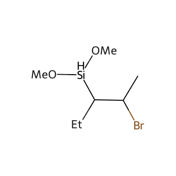 CCC(C(C)Br)[SiH](OC)OC